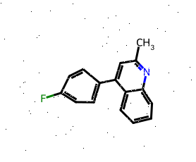 Cc1cc(-c2ccc(F)cc2)c2ccccc2n1